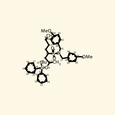 C=CCCC(CC(C)O[Si](c1ccccc1)(c1ccccc1)C(C)(C)C)S(=O)(=O)N(Cc1ccc(OC)cc1)Cc1ccc(OC)cc1